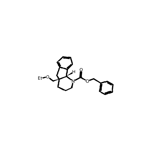 CCOC[C@]12CCCN(C(=O)OCc3ccccc3)[C@H]1c1ccccc1C2